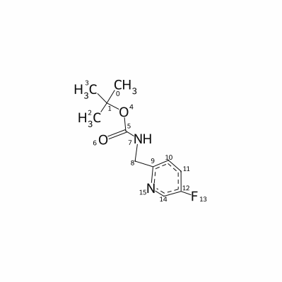 CC(C)(C)OC(=O)NCc1ccc(F)cn1